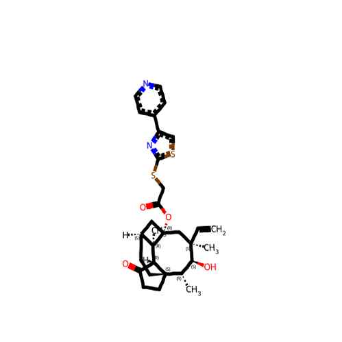 C=C[C@]1(C)C[C@]2(OC(=O)CSc3nc(-c4ccncc4)cs3)C[C@@H]3CC[C@]4(CCC(=O)[C@H]4[C@@]32C)[C@@H](C)[C@@H]1O